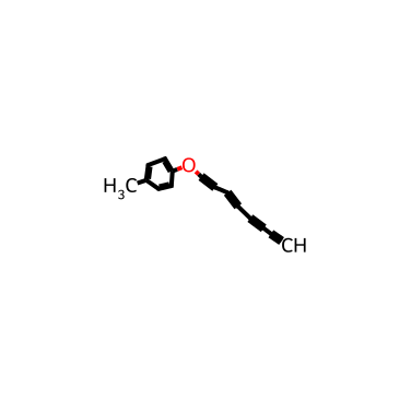 C#CC#CC#CC#COc1ccc(C)cc1